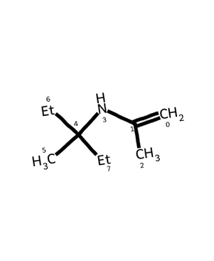 C=C(C)NC(C)(CC)CC